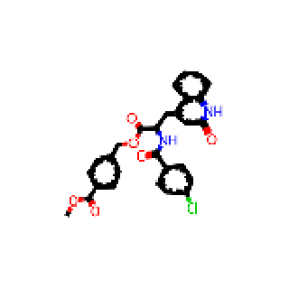 COC(=O)c1ccc(COC(=O)C(Cc2cc(=O)[nH]c3ccccc23)NC(=O)c2ccc(Cl)cc2)cc1